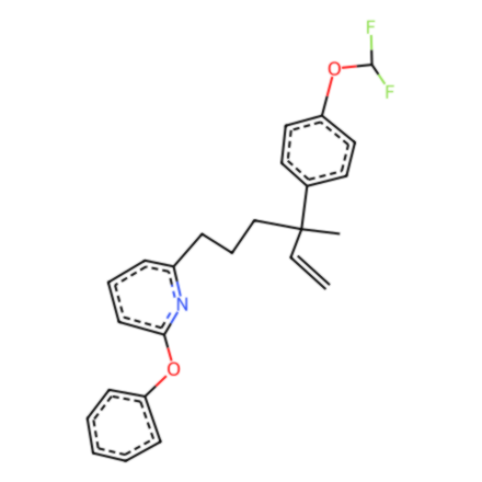 C=CC(C)(CCCc1cccc(Oc2ccccc2)n1)c1ccc(OC(F)F)cc1